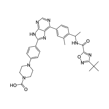 Cc1cc(-c2ncnc3[nH]c(-c4ccc(N5CCN(C(=O)O)CC5)cc4)nc23)ccc1C(C)NC(=O)c1nc(C(C)(C)C)no1